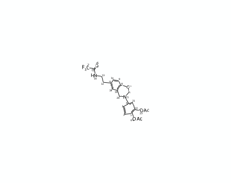 CC(=O)Oc1ccc(N2COc3ccc(CCNC(=O)C(F)(F)F)cc3C2)cc1OC(C)=O